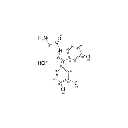 Cl.NCC(=O)n1cc(-c2ccc(Cl)c(Cl)c2)c2cc(Cl)ccc21